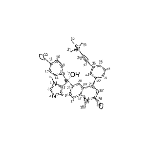 Cn1cncc1[C@@](O)(c1ccc(Cl)cc1)c1ccc2c(c1)c(-c1cccc(C#C[Si](C)(C)C)c1)cc(=O)n2C